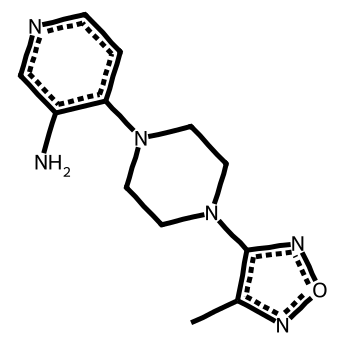 Cc1nonc1N1CCN(c2ccncc2N)CC1